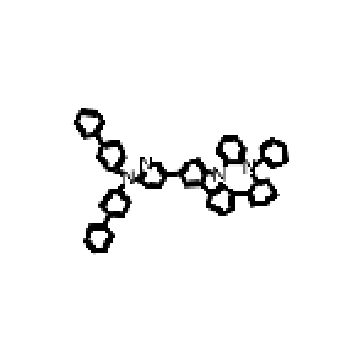 c1ccc(-c2ccc(N(c3ccc(-c4ccccc4)cc3)c3ccc(-c4ccc5c(c4)c4cccc6c7ccccc7n(-c7ccccc7)c7ccccc7n5c64)cn3)cc2)cc1